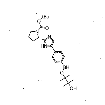 CC(C)(C)OC(=O)N1CCC[C@H]1c1ncc(-c2ccc(BOC(C)(C)C(C)(C)O)cc2)[nH]1